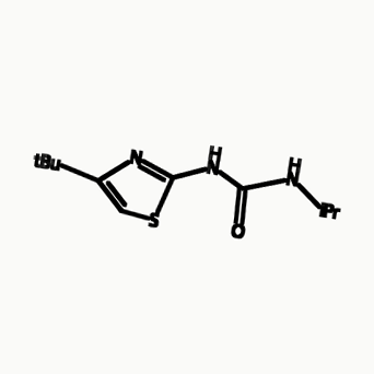 CC(C)NC(=O)Nc1nc(C(C)(C)C)cs1